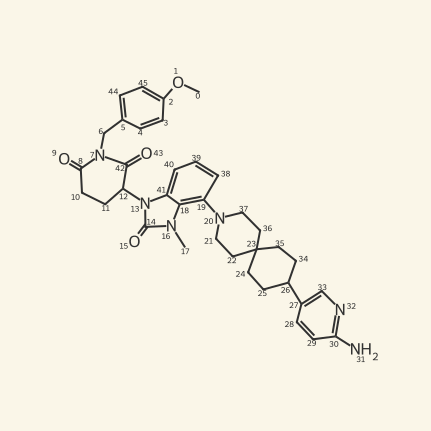 COc1ccc(CN2C(=O)CCC(n3c(=O)n(C)c4c(N5CCC6(CCC(c7ccc(N)nc7)CC6)CC5)cccc43)C2=O)cc1